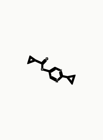 O=C(Oc1cnc(C2CC2)nc1)C1CC1